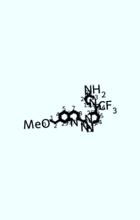 COCCc1ccc2ccc(-c3nnc4ccc([C@@H](N5CC[C@H](N)C5)C(F)(F)F)cn34)nc2c1